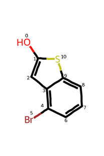 Oc1cc2c(Br)cccc2s1